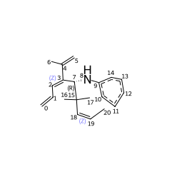 C=C/C=C(/C(=C)C)[C@H](Nc1ccccc1)C(C)(C)/C=C\C